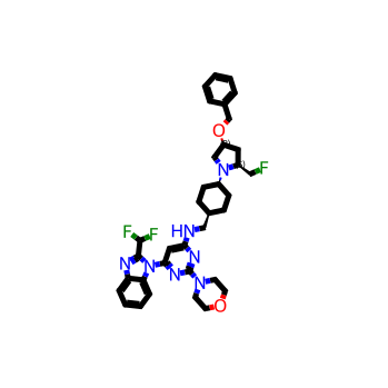 FC[C@@H]1C[C@@H](OCc2ccccc2)CN1[C@H]1CC[C@H](CNc2cc(-n3c(C(F)F)nc4ccccc43)nc(N3CCOCC3)n2)CC1